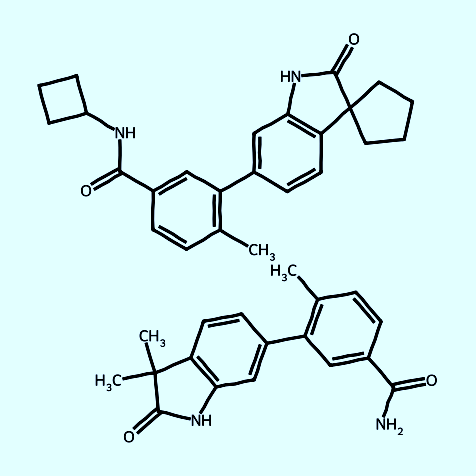 Cc1ccc(C(=O)NC2CCC2)cc1-c1ccc2c(c1)NC(=O)C21CCCC1.Cc1ccc(C(N)=O)cc1-c1ccc2c(c1)NC(=O)C2(C)C